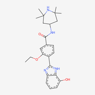 CCOc1cc(C(=O)NC2CC(C)(C)NC(C)(C)C2)ccc1-c1nc2cccc(O)c2[nH]1